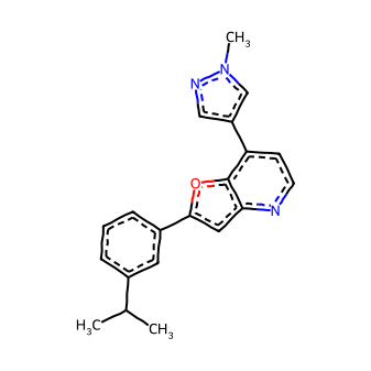 CC(C)c1cccc(-c2cc3nccc(-c4cnn(C)c4)c3o2)c1